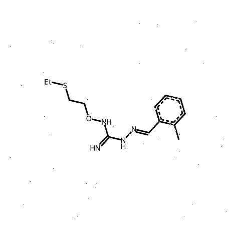 CCSCCONC(=N)N/N=C/c1ccccc1C